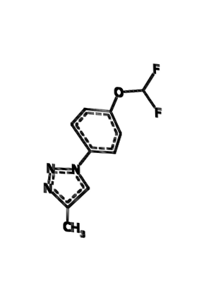 Cc1cn(-c2ccc(OC(F)F)cc2)nn1